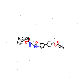 CC(=O)OCC1CCC(c2ccc(NC(=O)CCNC(=O)OC(C)(C)C)cc2)CC1